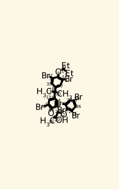 CCC(CC)Oc1c(Br)cc(C(C)(C)c2cc(Br)c(OC(C)(O)COc3c(Br)cc(Br)cc3Br)c(Br)c2)cc1Br